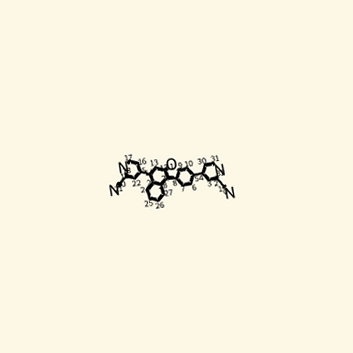 N#Cc1cc(-c2ccc3c(c2)oc2cc(-c4ccnc(C#N)c4)c4ccccc4c23)ccn1